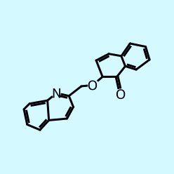 O=C1c2ccccc2C=CC1OCc1ccc2ccccc2n1